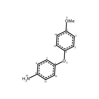 COc1ccc(Oc2ccc(N)cc2)cc1